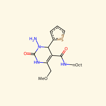 CCCCCCCCNC(=O)C1=C(COC)NC(=O)N(N)C1c1cccs1